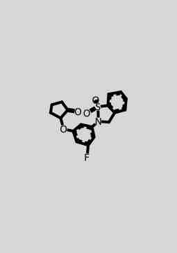 O=C1CCCC1Oc1cc(F)cc(N2Cc3ccccc3S2(=O)=O)c1